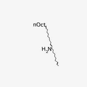 CC=CCCCCCCC(N)C=CCCCCCCCC=CCCCCCCCC